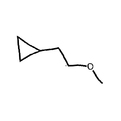 CO[CH]CC1CC1